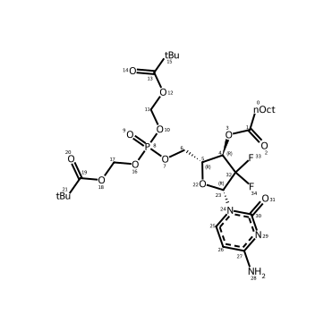 CCCCCCCCC(=O)O[C@@H]1[C@@H](COP(=O)(OCOC(=O)C(C)(C)C)OCOC(=O)C(C)(C)C)O[C@@H](n2ccc(N)nc2=O)C1(F)F